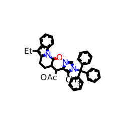 CCc1c2n(c3ccccc13)C(=O)C(C(OC(C)=O)c1ncn(C(c3ccccc3)(c3ccccc3)c3ccccc3)c1C)CC2